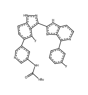 CCCCC(=O)Nc1cncc(-c2ccc3[nH]nc(-c4nc5c(-c6cccc(F)c6)nccc5[nH]4)c3c2F)c1